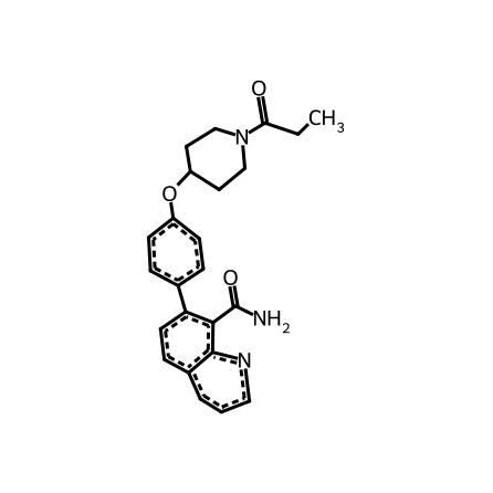 CCC(=O)N1CCC(Oc2ccc(-c3ccc4cccnc4c3C(N)=O)cc2)CC1